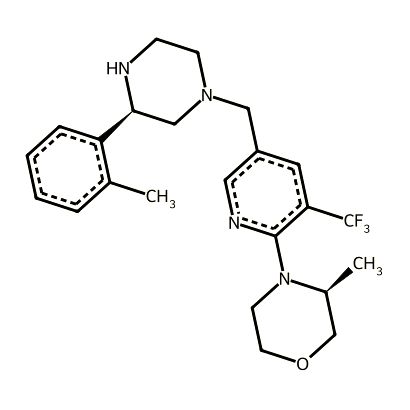 Cc1ccccc1[C@@H]1CN(Cc2cnc(N3CCOC[C@@H]3C)c(C(F)(F)F)c2)CCN1